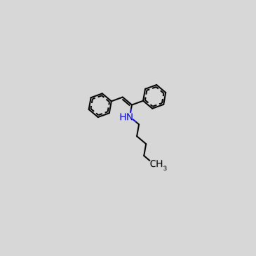 CCCCCNC(=Cc1ccccc1)c1ccccc1